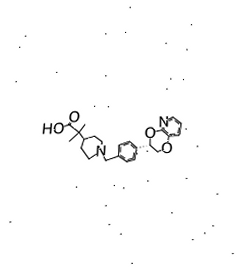 CC(C)(C(=O)O)C1CCN(Cc2ccc([C@H]3COc4cccnc4O3)cc2)CC1